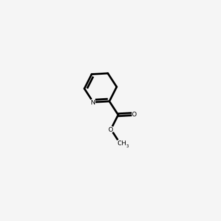 COC(=O)C1=NC=CCC1